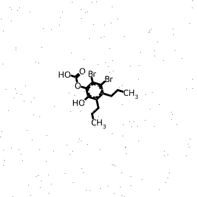 CCCc1c(O)c(OC(=O)O)c(Br)c(Br)c1CCC